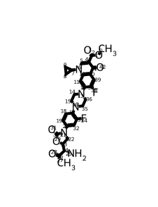 COC(=O)c1cn(C2CC2)c2cc(N3CCN(c4ccc(N5CC([C@H](N)C(C)=O)OC5=O)cc4F)CC3)c(F)cc2c1=O